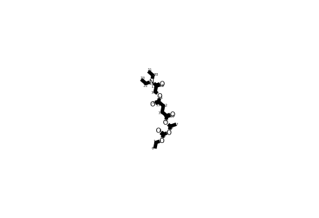 CCOC(=O)OC(C)OC(=O)CCC(=O)OCC(=O)N(CC)CC